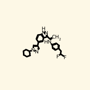 C=C(Nc1ccc(CC(F)F)cc1)c1n[nH]c2ccc(-c3cnn(C4CCCCC4)c3)cc12